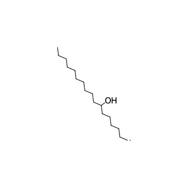 [CH2]CCCCCC(O)CCCCCCCCCC